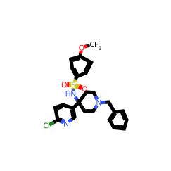 O=S(=O)(NC1(c2ccc(Cl)nc2)CCN(Cc2ccccc2)CC1)c1ccc(OC(F)(F)F)cc1